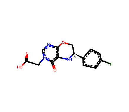 O=C(O)Cn1cnc2c(c1=O)N[C@H](c1ccc(F)cc1)CO2